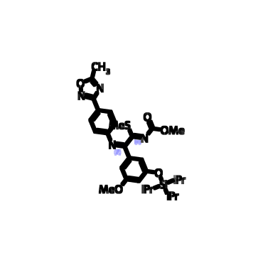 COC(=O)/N=C(SC)/C(=N\c1ccc(-c2noc(C)n2)cc1)c1cc(OC)cc(O[Si](C(C)C)(C(C)C)C(C)C)c1